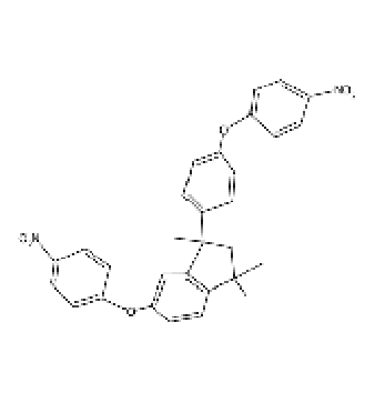 CC1(C)CC(C)(c2ccc(Oc3ccc([N+](=O)[O-])cc3)cc2)c2cc(Oc3ccc([N+](=O)[O-])cc3)ccc21